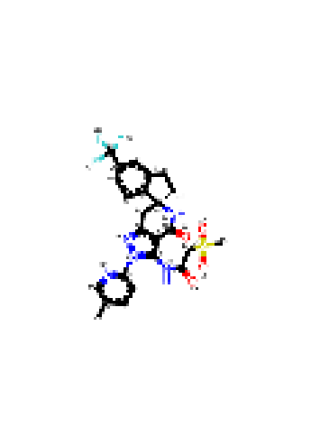 Cc1ccc(-n2nc3c(c2NC(=O)CS(C)(=O)=O)C(=O)N[C@@]2(CCc4cc(C(F)(F)F)ccc42)C3)nc1